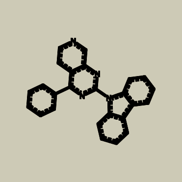 c1ccc(-c2nc(-n3c4ccccc4c4ccccc43)nc3cnccc23)cc1